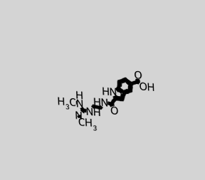 C/N=C(/NC)NCCNC(=O)c1cc2cc(C(=O)O)ccc2[nH]1